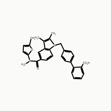 Cc1ccc(N(C)C(=O)c2ccc3c(c2)c(C)c(C)n3Cc2ccc(-c3ccccc3C(=O)O)cc2)o1